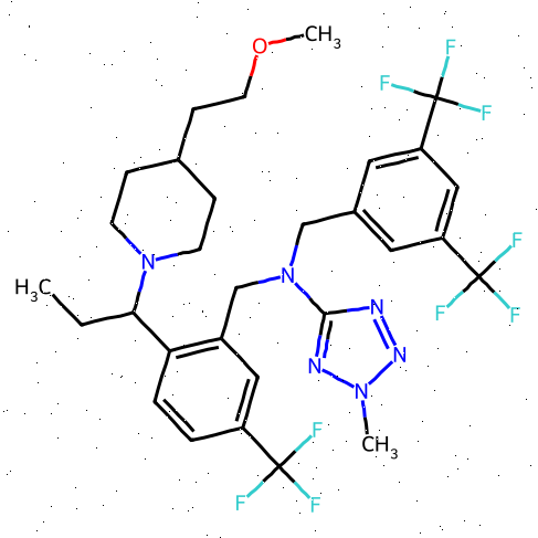 CCC(c1ccc(C(F)(F)F)cc1CN(Cc1cc(C(F)(F)F)cc(C(F)(F)F)c1)c1nnn(C)n1)N1CCC(CCOC)CC1